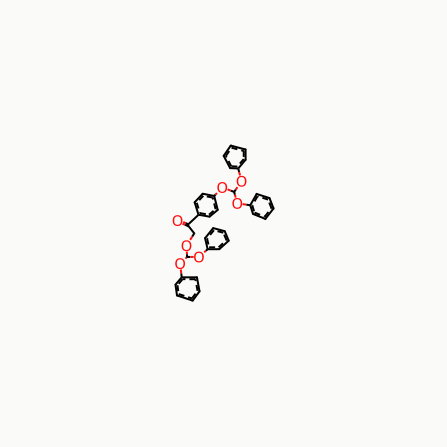 O=C(COC(Oc1ccccc1)Oc1ccccc1)c1ccc(OC(Oc2ccccc2)Oc2ccccc2)cc1